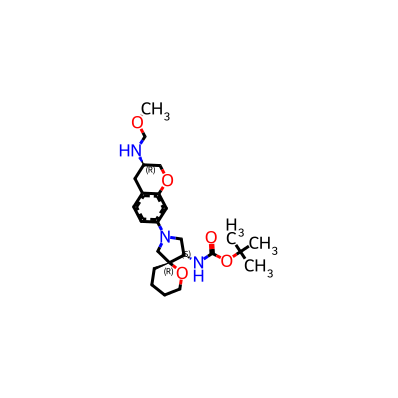 COCN[C@H]1COc2cc(N3C[C@H](NC(=O)OC(C)(C)C)[C@@]4(CCCCO4)C3)ccc2C1